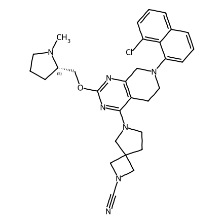 CN1CCC[C@H]1COc1nc2c(c(N3CCC4(CN(C#N)C4)C3)n1)CCN(c1cccc3cccc(Cl)c13)C2